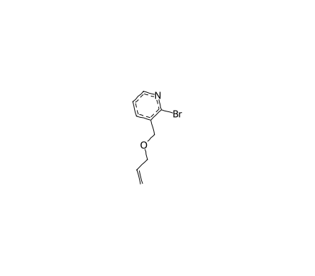 C=CCOCc1cccnc1Br